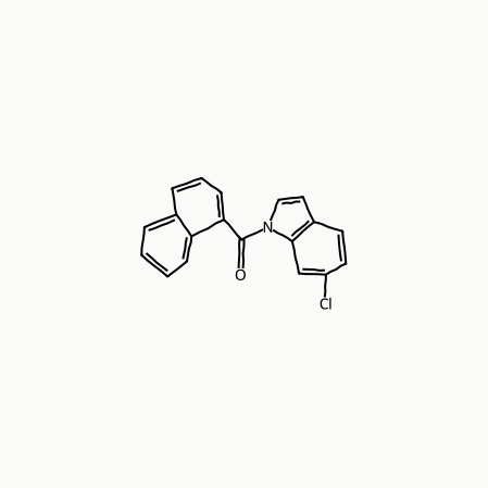 O=C(c1cccc2ccccc12)n1ccc2ccc(Cl)cc21